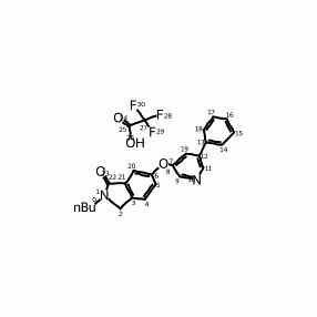 CCCCN1Cc2ccc(Oc3cncc(-c4ccccc4)c3)cc2C1=O.O=C(O)C(F)(F)F